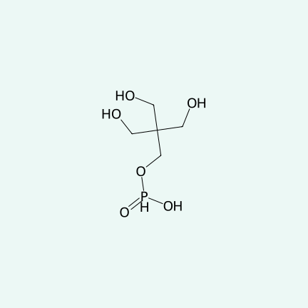 O=[PH](O)OCC(CO)(CO)CO